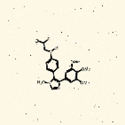 CCN(CC(Cl)Cl)c1ccc(-c2c(-c3cc(OC)c(OC)c(OC)c3)ncn2C)cc1